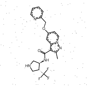 Cc1nn2ccc(OCc3ccccn3)cc2c1C(=O)N[C@@H]1CNC[C@H]1C(F)(F)F